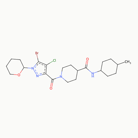 CC1CCC(NC(=O)C2CCN(C(=O)c3nn(C4CCCCO4)c(Br)c3Cl)CC2)CC1